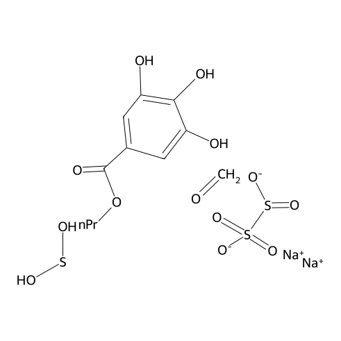 C=O.CCCOC(=O)c1cc(O)c(O)c(O)c1.O=S([O-])S(=O)(=O)[O-].OSO.[Na+].[Na+]